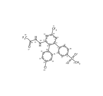 CS(=O)(=O)c1ccc(-c2nc(C(F)(F)F)nc(NNC(=O)C(F)(F)F)c2-c2ccc(Cl)cc2)cc1